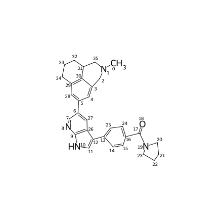 CN1Cc2cc(-c3cnc4[nH]cc(-c5ccc(C(=O)N6CCCC6)cc5)c4c3)cc3c2C(CCC3)C1